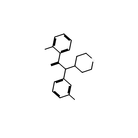 Cc1cccc(C(C(=O)c2ccccc2Br)C2CCNCC2)c1